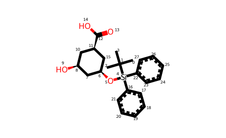 CC(C)(C)[Si](O[C@H]1C[C@@H](O)C[C@@H](C(=O)O)C1)(c1ccccc1)c1ccccc1